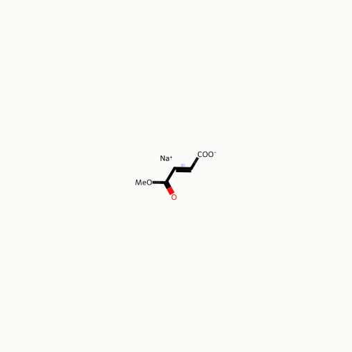 COC(=O)/C=C/C(=O)[O-].[Na+]